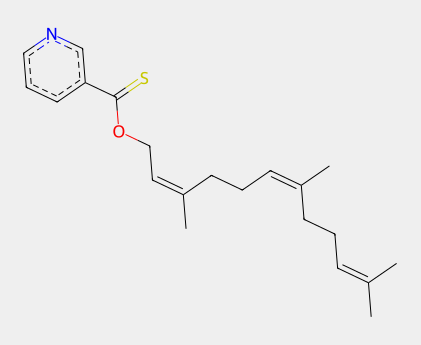 CC(C)=CCCC(C)=CCCC(C)=CCOC(=S)c1cccnc1